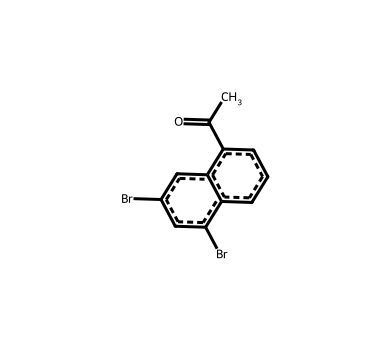 CC(=O)c1cccc2c(Br)cc(Br)cc12